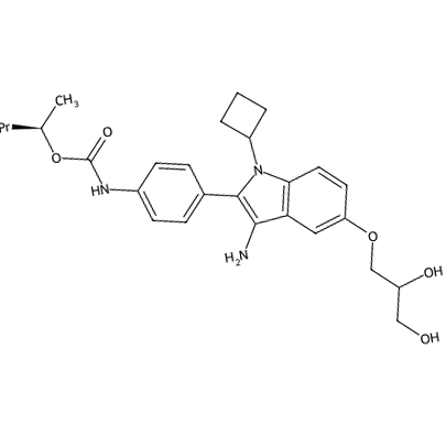 CC(C)[C@@H](C)OC(=O)Nc1ccc(-c2c(N)c3cc(OCC(O)CO)ccc3n2C2CCC2)cc1